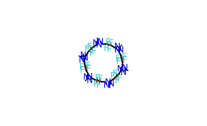 Cc1nc2nc(n1)c1c(F)c(F)c(c(F)c1F)c1nc(C)nc(n1)c1c(F)c(F)c(c(F)c1F)c1nc(C)nc(n1)c1c(F)c(F)c(c(F)c1F)c1nc(C)nc(n1)c1c(F)c(F)c(c(F)c1F)c1nc(C)nc(n1)c1c(F)c(F)c(c(F)c1F)c1nc(C)nc(n1)c1c(F)c(F)c2c(F)c1F